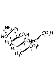 CC(=O)O.CC(=O)O.CC(=O)O.CC(=O)O.CC(C)O.N